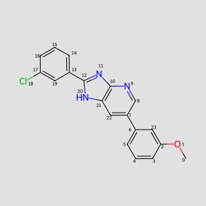 COc1cccc(-c2cnc3nc(-c4cccc(Cl)c4)[nH]c3c2)c1